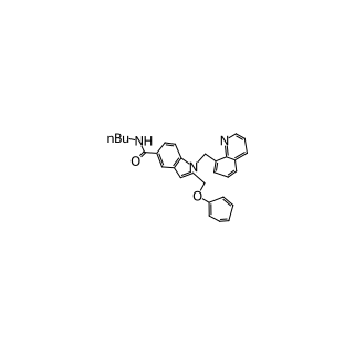 CCCCNC(=O)c1ccc2c(c1)cc(COc1ccccc1)n2Cc1cccc2cccnc12